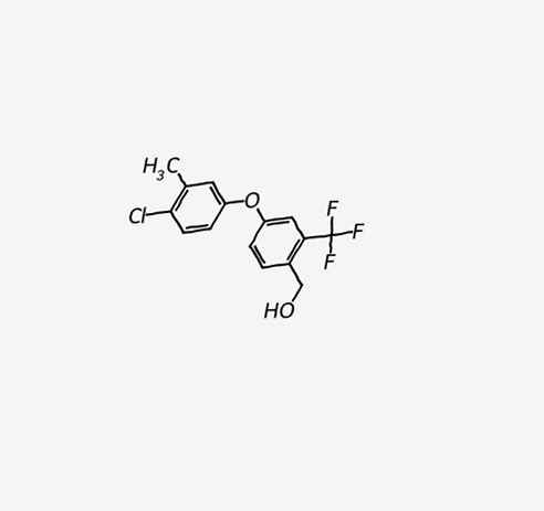 Cc1cc(Oc2ccc(CO)c(C(F)(F)F)c2)ccc1Cl